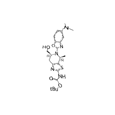 C[C@H]1c2sc(NC(=O)OC(C)(C)C)nc2C[C@@H](CO)N1c1nc2cc(N(C)C)ccc2o1